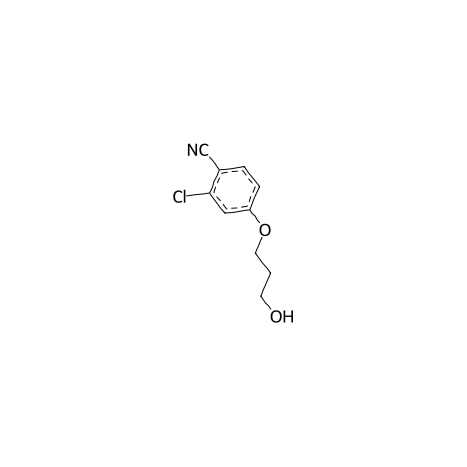 N#Cc1ccc(OCCCO)cc1Cl